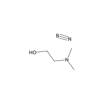 B#N.CN(C)CCO